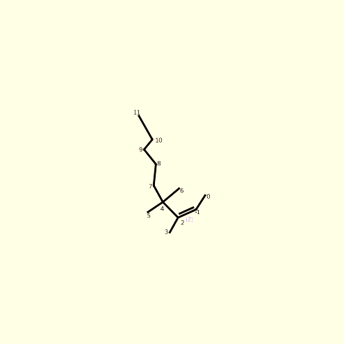 C/[C]=C(/C)C(C)(C)CCCCC